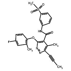 CC#Cc1nnc(Oc2ccc(F)cc2C)c(C(=O)Nc2cccc(S(C)(=O)=O)c2)c1C